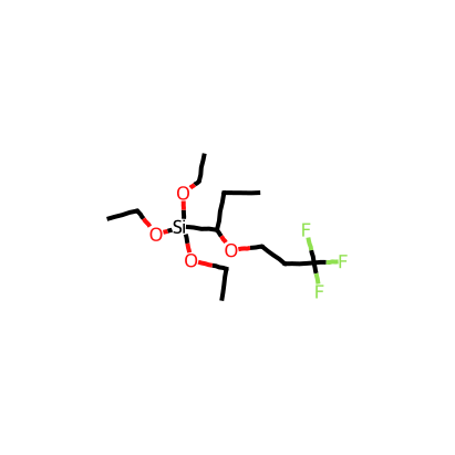 CCO[Si](OCC)(OCC)C(CC)OCCC(F)(F)F